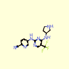 N#Cc1ccc(Nc2ncc(C(F)(F)F)c(NC3CCNC3)n2)cn1